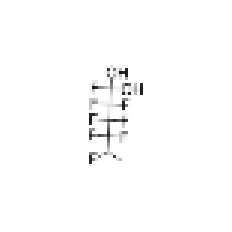 CC(F)C(F)(F)C(F)(F)C(F)(F)C(O)(O)F